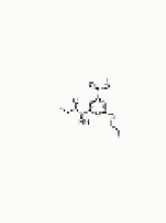 CCCOc1cc(C(=N)C(=O)CC)cc(C(=O)OC)c1